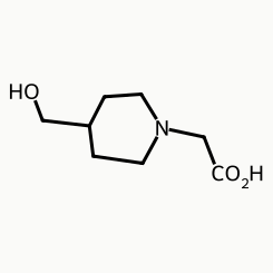 O=C(O)CN1CCC(CO)CC1